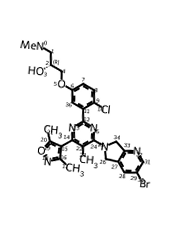 CNC[C@@H](O)COc1ccc(Cl)c(-c2nc(-c3c(C)noc3C)c(C)c(N3Cc4cc(Br)cnc4C3)n2)c1